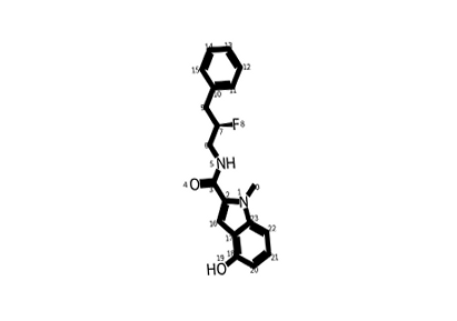 Cn1c(C(=O)NC[C@H](F)Cc2ccccc2)cc2c(O)cccc21